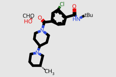 C[C@@H]1CCCN(C2CCN(C(=O)c3ccc(C(=O)NC(C)(C)C)c(Cl)c3)CC2)C1.O=CO